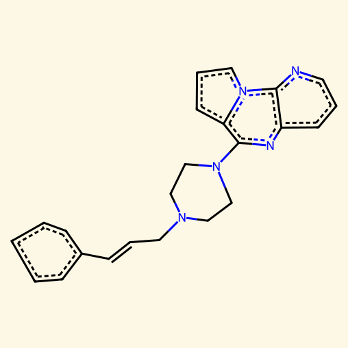 C(=C\c1ccccc1)/CN1CCN(c2nc3cccnc3n3cccc23)CC1